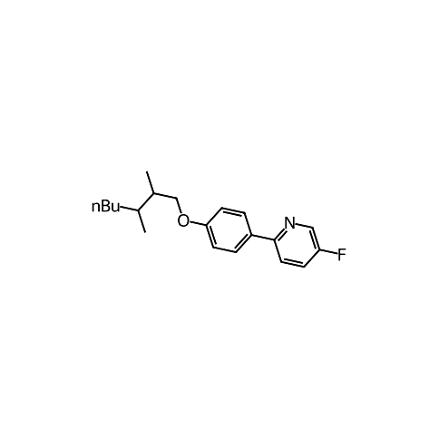 CCCCC(C)C(C)COc1ccc(-c2ccc(F)cn2)cc1